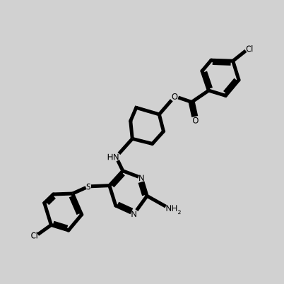 Nc1ncc(Sc2ccc(Cl)cc2)c(NC2CCC(OC(=O)c3ccc(Cl)cc3)CC2)n1